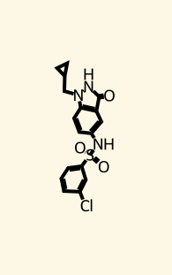 O=c1[nH]n(CC2CC2)c2ccc(NS(=O)(=O)c3cccc(Cl)c3)cc12